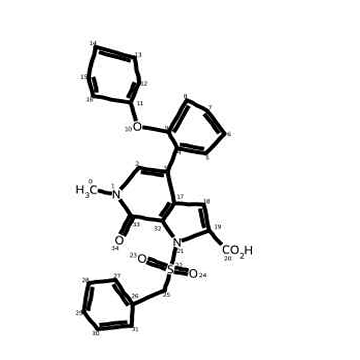 Cn1cc(-c2ccccc2Oc2ccccc2)c2cc(C(=O)O)n(S(=O)(=O)Cc3ccccc3)c2c1=O